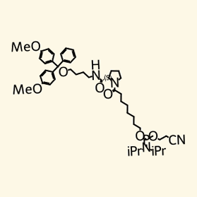 COc1ccc(C(OCCCCNC(=O)[C@@H]2CCCN2C(=O)CCCCCCCOP(OCCC#N)N(C(C)C)C(C)C)(c2ccccc2)c2ccc(OC)cc2)cc1